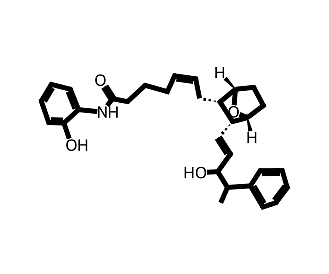 CC(c1ccccc1)C(O)/C=C/[C@@H]1[C@H](C/C=C\CCCC(=O)Nc2ccccc2O)[C@@H]2CC[C@H]1O2